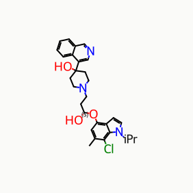 Cc1cc(O[C@H](O)CCN2CCC(O)(c3cncc4ccccc34)CC2)c2ccn(C(C)C)c2c1Cl